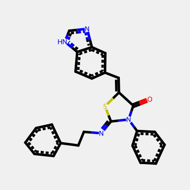 O=C1/C(=C/c2ccc3[nH]cnc3c2)S/C(=N\CCc2ccccc2)N1c1ccccc1